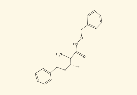 C[C@H](OCc1ccccc1)C(N)C(=O)NOCc1ccccc1